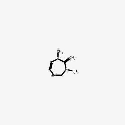 C=C1N(C)C=CNCN1C